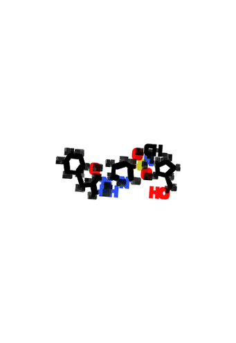 CN([C@@H]1CC[C@@H](CO)C1)S(=O)(=O)c1ccc(-n2[nH]cc(Cc3ccccc3)c2=O)nc1